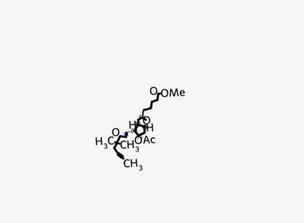 CC#CCC(C)(C)C(=O)/C=C/[C@@H]1[C@H]2C[C@@H](CCCCC(=O)OC)O[C@H]2C[C@H]1OC(C)=O